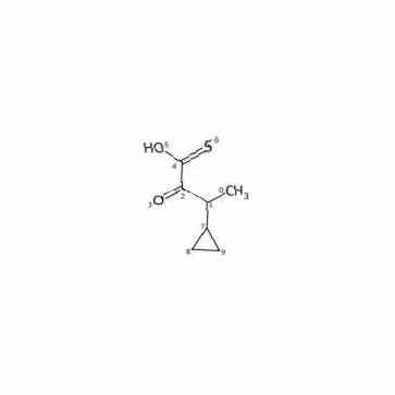 CC(C(=O)C(O)=S)C1CC1